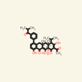 CC(=O)C1=C(O)C(C(C)C)[C@@]2(C)C[C@@]3(C)Cc4c(-c5cccc(C(=O)C(C)C)c5)ccc(O)c4C(=O)C3=C(O)[C@@]2(O)C1=O